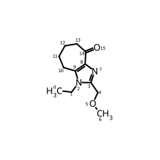 CCn1c(COC)nc2c1CCCCC2=O